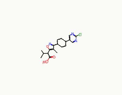 Cc1c(C2CCC(c3cnc(Cl)nc3)CC2)noc1C(C(=O)O)C(C)C